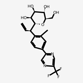 C=C[C@H](c1ccc(-c2cnc(C(F)(F)F)cn2)cc1C)[C@H]1O[C@H](CO)[C@@H](O)[C@H](O)[C@@H]1O